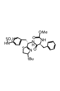 COC(=O)N[C@@H](Cc1ccccc1)C(=O)N[C@@H](Cc1ccc(NS(=O)(=O)O)cc1)C1=NC(C(C)(C)C)CS1